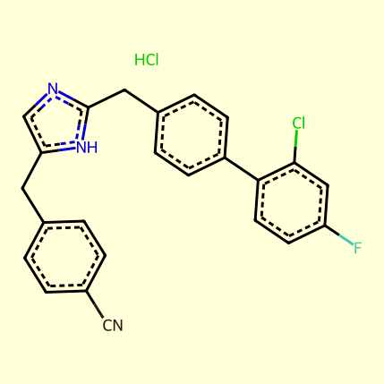 Cl.N#Cc1ccc(Cc2cnc(Cc3ccc(-c4ccc(F)cc4Cl)cc3)[nH]2)cc1